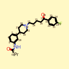 CC(C)C(=O)Nc1cccc(C2CCN(CCCCC(=O)c3ccc(F)cc3)CC2)c1